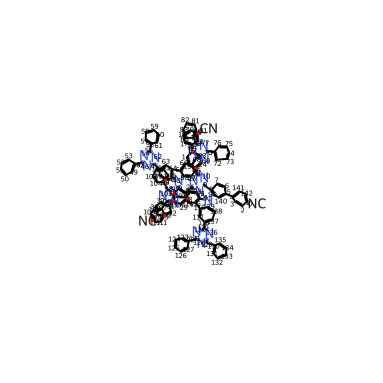 [C-]#[N+]c1ccc(-c2ccc(-c3nc(-c4ccc(-c5cccc(C#N)c5)cc4)nc(-c4ccc(-c5ccc(C#N)cc5)cc4-n4c5ccc(-c6nc(-c7ccccc7)nc(-c7ccccc7)n6)cc5c5cc(-c6nc(-c7ccccc7)nc(-c7ccccc7)n6)ccc54)n3)c(-n3c4ccc(-c5nc(-c6ccccc6)nc(-c6ccccc6)n5)cc4c4cc(-c5nc(-c6ccccc6)nc(-c6ccccc6)n5)ccc43)c2)cc1